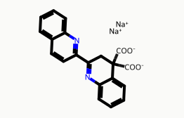 O=C([O-])C1(C(=O)[O-])CC(c2ccc3ccccc3n2)=Nc2ccccc21.[Na+].[Na+]